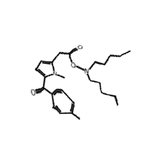 CCCCCN(CCCCC)OC(=O)Cc1ccc(C(=O)c2ccc(C)cc2)n1C